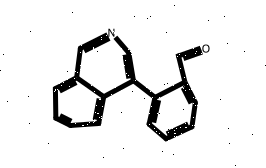 O=Cc1ccccc1-c1cncc2ccccc12